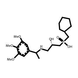 COc1cc(C(C)NC[C@H](O)CP(=O)(O)CC2CCCCC2)cc(OC)c1OC